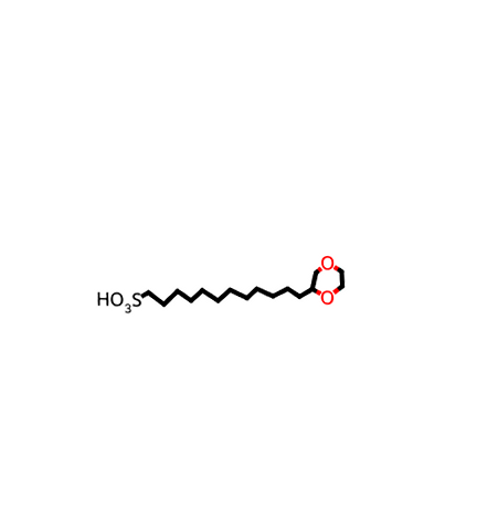 O=S(=O)(O)CCCCCCCCCCCCC1COCCO1